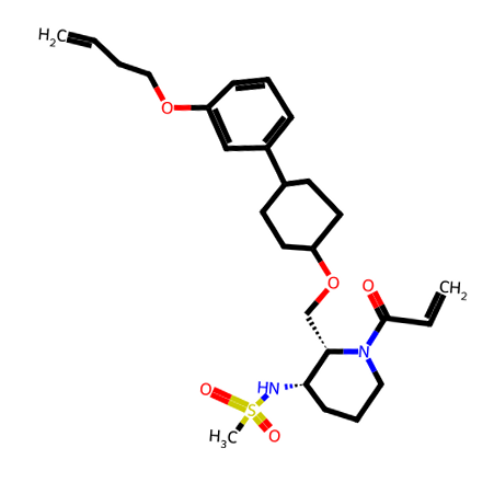 C=CCCOc1cccc(C2CCC(OC[C@H]3[C@@H](NS(C)(=O)=O)CCCN3C(=O)C=C)CC2)c1